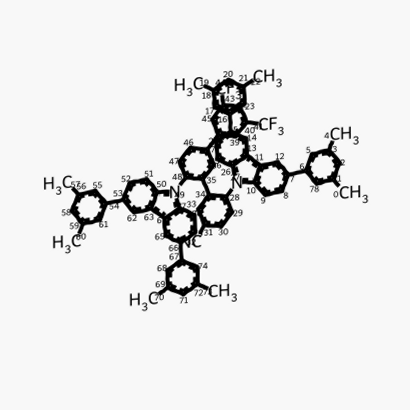 Cc1cc(C)cc(-c2ccc3c(c2)c2cc(-c4cc(C)cc(C)c4)ccc2n3-c2ccc(C#N)cc2-c2cc(-c3cc(C(F)(F)F)cc(C(F)(F)F)c3)ccc2-n2c3ccc(-c4cc(C)cc(C)c4)cc3c3cc(-c4cc(C)cc(C)c4)ccc32)c1